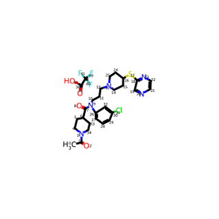 CC(=O)N1CCC(C(=O)N(CCCN2CCC(Sc3cnccn3)CC2)c2cccc(Cl)c2)CC1.O=C(O)C(F)(F)F